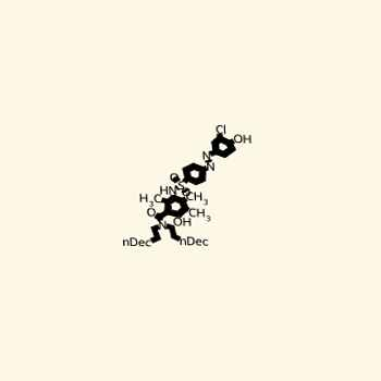 CCCCCCCCCCCCN(CCCCCCCCCCCC)C(=O)c1c(C)c(NS(=O)(=O)c2ccc(/N=N/c3ccc(O)c(Cl)c3)cc2)c(C)c(C)c1O